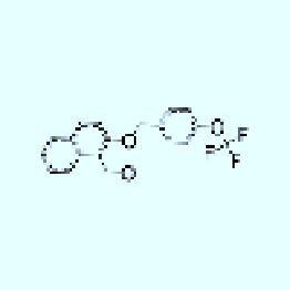 O=Cc1c(OCc2ccc(OC(F)(F)F)cc2)ccc2ccccc12